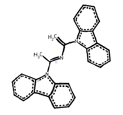 C=C(/N=C(\C)n1c2ccccc2c2ccccc21)n1c2ccccc2c2ccccc21